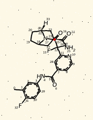 Cc1cc(NC(=O)c2ccnc(C(F)(F)C(=O)N3C4CC[C@@H]3C[C@@H](C(N)=O)C4)c2)ccc1F